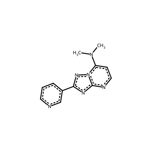 CN(C)c1ccnc2nc(-c3cccnc3)nn12